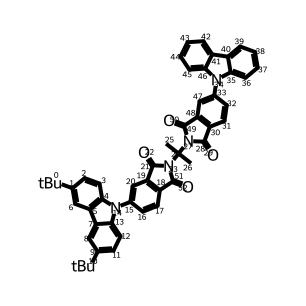 CC(C)(C)c1ccc2c(c1)c1cc(C(C)(C)C)ccc1n2-c1ccc2c(c1)C(=O)N(C(C)(C)N1C(=O)c3ccc(-n4c5ccccc5c5ccccc54)cc3C1=O)C2=O